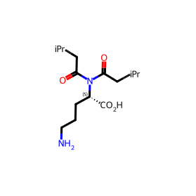 CC(C)CC(=O)N(C(=O)CC(C)C)[C@@H](CCCN)C(=O)O